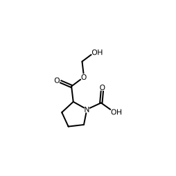 O=C(OCO)C1CCCN1C(=O)O